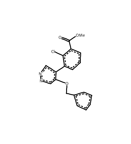 COC(=O)c1cccc(-c2cnncc2OCc2ccccc2)c1Cl